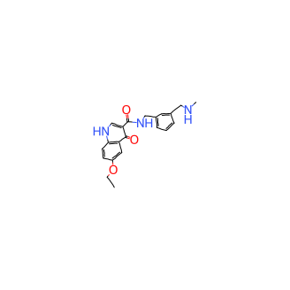 CCOc1ccc2[nH]cc(C(=O)NCc3cccc(CNC)c3)c(=O)c2c1